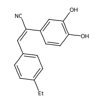 CCc1ccc(C=C(C#N)c2ccc(O)c(O)c2)cc1